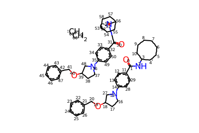 O=C(NC1[CH]CCCCCC1)c1ccc(N2CCC(OCc3ccccc3)C2)cc1.O=C(c1ccc(N2CCC(OCc3ccccc3)C2)cc1)N1CC2CCC(CC2)C1.[CH2].[CH2]